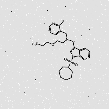 NCCOCCN(Cc1cccnc1F)Cc1cn(S(=O)(=O)C2CCCCCC2)c2ccccc12